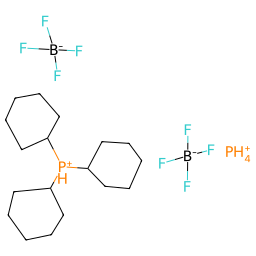 C1CCC([PH+](C2CCCCC2)C2CCCCC2)CC1.F[B-](F)(F)F.F[B-](F)(F)F.[PH4+]